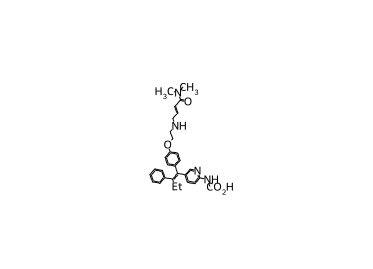 CCC(=C(c1ccc(OCCNC/C=C/C(=O)N(C)C)cc1)c1ccc(NC(=O)O)nc1)c1ccccc1